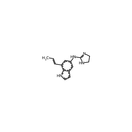 CC=Cc1cc(NC2=NCCN2)cc2cc[nH]c12